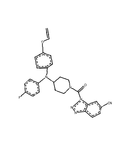 C=COc1ccc(N(c2ccc(F)cc2)C2CCN(C(=O)n3nnc4ccc(C#N)cc43)CC2)cc1